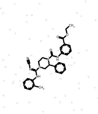 CCOC(=O)c1cccc(NC(=O)N2CCN(/C(=N\C#N)Nc3ccccc3C)CC2c2ccccc2)c1